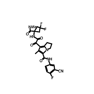 CNC(=O)C1(NC(=O)C(=O)c2c(C)c(C(=O)Nc3ccc(F)c(C#N)c3)n3c2CCC3)CC(F)(F)C1